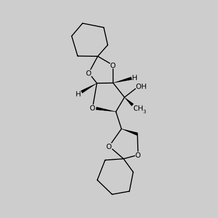 C[C@@]1(O)[C@@H]([C@H]2COC3(CCCCC3)O2)O[C@@H]2OC3(CCCCC3)O[C@@H]21